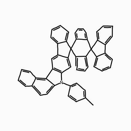 Cc1ccc(-n2c3cc4c(cc3c3c5ccccc5ccc32)-c2ccccc2C42c3ccccc3C3(c4ccccc4-c4ccccc43)c3ccccc32)cc1